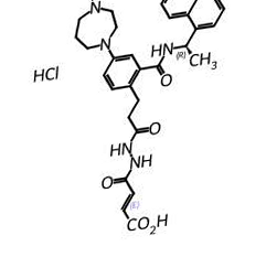 C[C@@H](NC(=O)c1cc(N2CCCNCC2)ccc1CCC(=O)NNC(=O)/C=C/C(=O)O)c1cccc2ccccc12.Cl